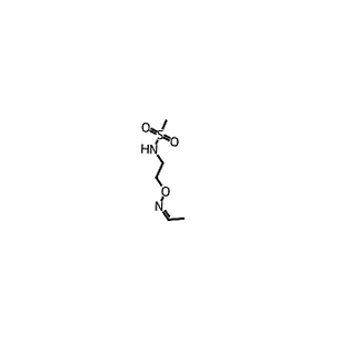 C/C=N\OCCNS(C)(=O)=O